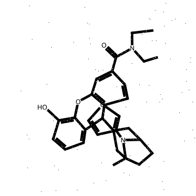 CCN(CC)C(=O)c1ccc2c(c1)Oc1c(O)cccc1C2C1CC2CCC(C)(C1)N2c1ccoc1